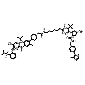 Cc1cc(Nc2ncc(Cl)c(Nc3ccccc3S(=O)(=O)C(C)C)n2)c(OC(C)C)cc1C1CCN(CC(=O)NCCCCCCC(=O)NC(C(=O)N2C[C@H](O)C[C@H]2C(=O)NCc2ccc(-c3scnc3C)cc2)C(C)(C)C)CC1